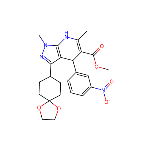 COC(=O)C1=C(C)Nc2c(c(C3CCC4(CC3)OCCO4)nn2C)C1c1cccc([N+](=O)[O-])c1